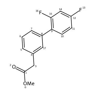 COC(=O)Cc1cccc(-c2ccc(F)cc2F)c1